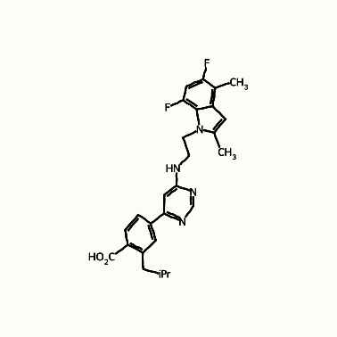 Cc1c(F)cc(F)c2c1cc(C)n2CCNc1cc(-c2ccc(C(=O)O)c(CC(C)C)c2)ncn1